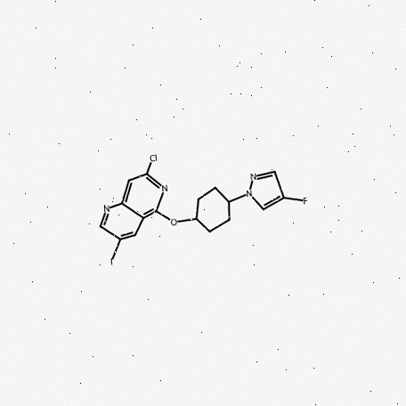 Fc1cnn(C2CCC(Oc3nc(Cl)cc4ncc(I)cc34)CC2)c1